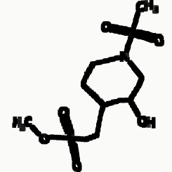 COS(=O)(=O)CC1CCN(S(C)(=O)=O)CC1O